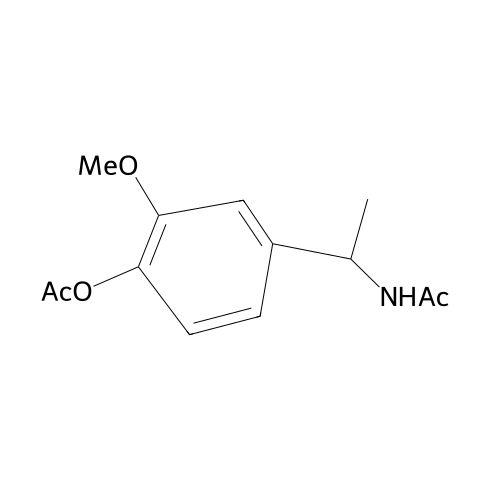 COc1cc(C(C)NC(C)=O)ccc1OC(C)=O